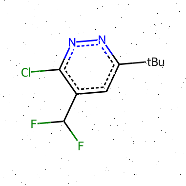 CC(C)(C)c1cc(C(F)F)c(Cl)nn1